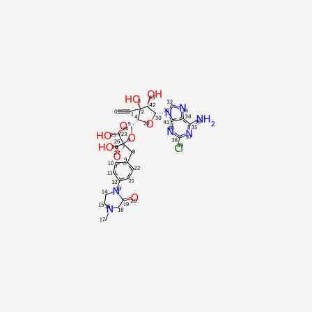 C#C[C@@]1(O)[C@@H](COC(Cc2ccc(N3CCN(C)CC3=O)cc2)(C(=O)O)C(=O)O)O[C@@H](n2cnc3c(N)nc(Cl)nc32)[C@@H]1O